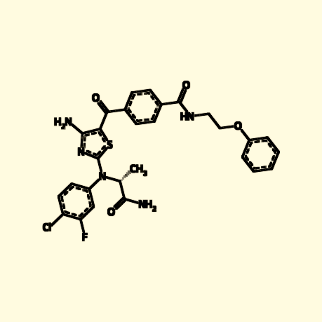 C[C@H](C(N)=O)N(c1ccc(Cl)c(F)c1)c1nc(N)c(C(=O)c2ccc(C(=O)NCCOc3ccccc3)cc2)s1